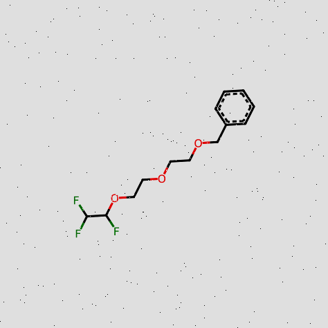 FC(F)C(F)OCCOCCOCc1ccccc1